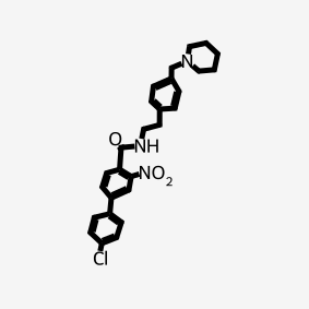 O=C(NCCc1ccc(CN2CCCCC2)cc1)c1ccc(-c2ccc(Cl)cc2)cc1[N+](=O)[O-]